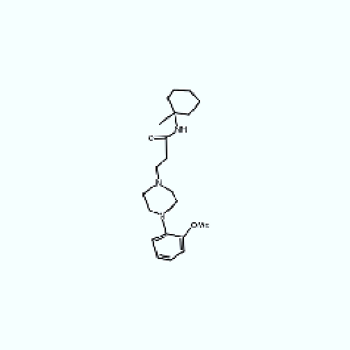 COc1ccccc1N1CCN(CCC(=O)NC2(C)CCCCC2)CC1